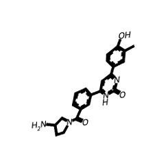 Cc1cc(-c2cc(-c3cccc(C(=O)N4CCC(N)C4)c3)[nH]c(=O)n2)ccc1O